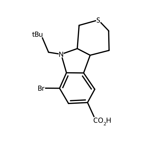 CC(C)(C)CN1c2c(Br)cc(C(=O)O)cc2C2CCSCC21